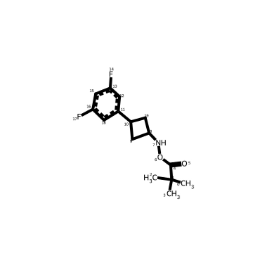 CC(C)(C)C(=O)ONC1CC(c2cc(F)cc(F)c2)C1